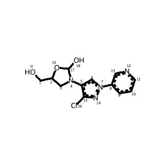 OCC1CN(c2cn(-c3cccnc3)nc2Cl)C(O)O1